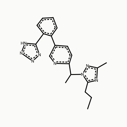 CCCc1nc(C)nn1C(C)c1ccc(-c2ccccc2-c2nnn[nH]2)cn1